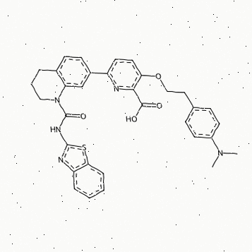 CN(C)c1ccc(CCOc2ccc(-c3ccc4c(c3)N(C(=O)Nc3nc5ccccc5s3)CCC4)nc2C(=O)O)cc1